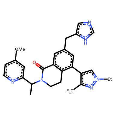 CCn1cc(-c2cc(Cc3cnc[nH]3)cc3c2CCN(C(C)c2cc(OC)ccn2)C3=O)c(C(F)(F)F)n1